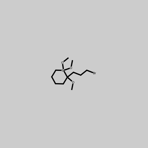 COC1(CCCBr)CCCC[Si]1(OC)OC